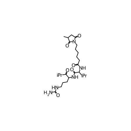 CC(C)C(=O)C(CCCNC(N)=O)NC(=O)C(NC(=O)CCCCCN1C(=O)CC(C)C1=O)C(C)C